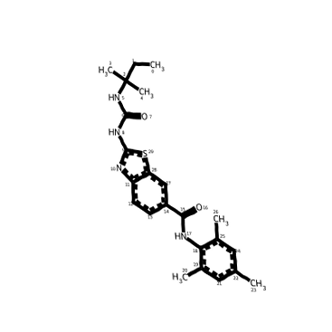 CCC(C)(C)NC(=O)Nc1nc2ccc(C(=O)Nc3c(C)cc(C)cc3C)cc2s1